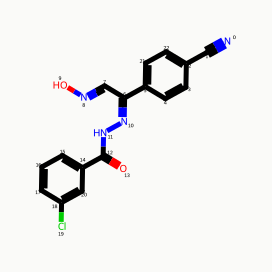 N#Cc1ccc(C(C=NO)=NNC(=O)c2cccc(Cl)c2)cc1